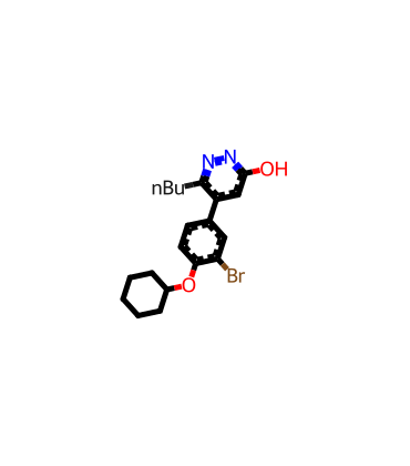 CCCCc1nnc(O)cc1-c1ccc(OC2CCCCC2)c(Br)c1